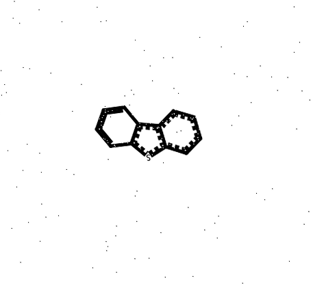 C1=C=Cc2c(sc3ccccc23)C=1